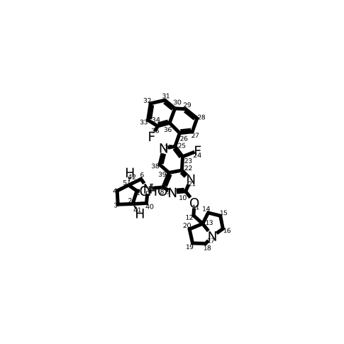 O=CC1[C@@H]2CC[C@H]1CN(c1nc(OCC34CCCN3CCC4)nc3c(F)c(-c4cccc5cccc(F)c45)ncc13)C2